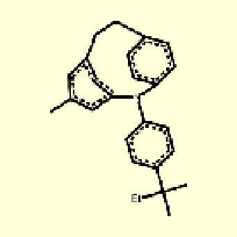 CCC(C)(C)c1ccc(N2c3ccc(cc3)CCc3cc(C)cc2c3)cc1